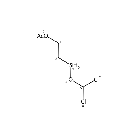 CC(=O)OCC[SiH2]OC(Cl)Cl